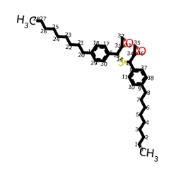 CCCCCCCCCc1ccc(C(SC(c2ccc(CCCCCCCCC)cc2)C2CO2)C2CO2)cc1